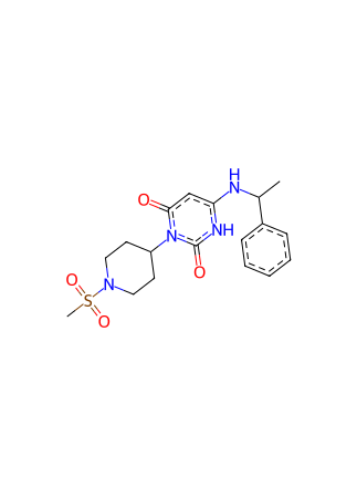 CC(Nc1cc(=O)n(C2CCN(S(C)(=O)=O)CC2)c(=O)[nH]1)c1ccccc1